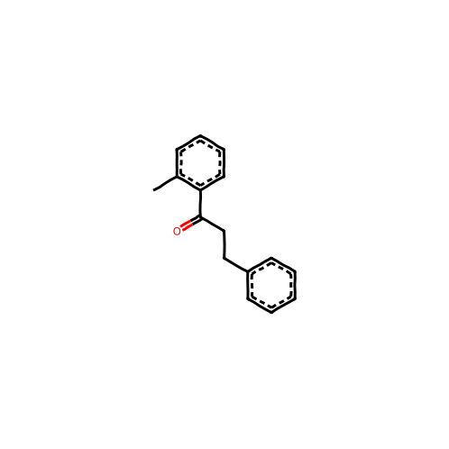 Cc1ccccc1C(=O)CCc1ccccc1